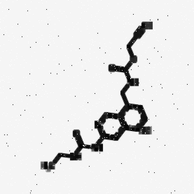 C#CCOC(=O)NCc1cccc2cc(NC(=O)NCC)ncc12.Cl